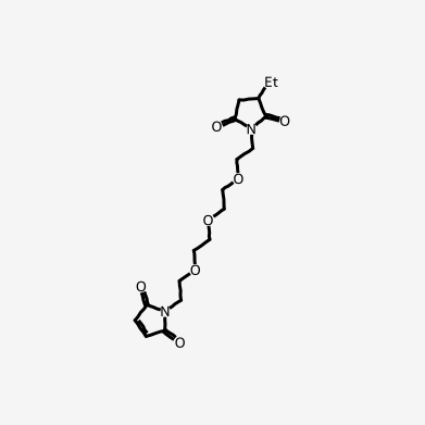 CCC1CC(=O)N(CCOCCOCCOCCN2C(=O)C=CC2=O)C1=O